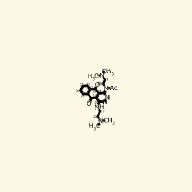 CC(=O)N(CCN(C)C)c1nnc(NCCN(C)C)c2c1C(=O)c1ccccc1C2=O